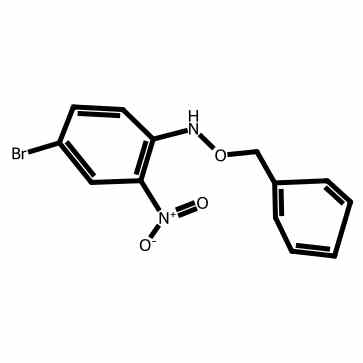 O=[N+]([O-])c1cc(Br)ccc1NOCc1ccccc1